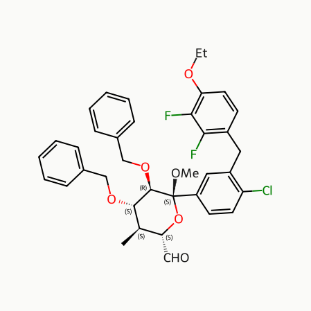 CCOc1ccc(Cc2cc([C@]3(OC)O[C@H](C=O)[C@@H](C)[C@H](OCc4ccccc4)[C@H]3OCc3ccccc3)ccc2Cl)c(F)c1F